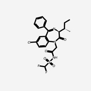 CC[C@H](C)[C@@H]1N=C(c2ccccc2)c2cc(Cl)ccc2N(CC(=O)NS(=O)(=O)C(F)F)C1=O